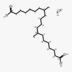 CC(CCCCCCC(=O)[O-])CCCCC(C)CCCCCCC(=O)[O-].[K+].[K+]